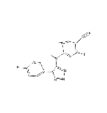 CN(c1cc(F)c(C#N)cc1F)c1nnnn1-c1ccc(F)cc1